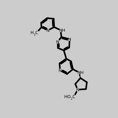 Cc1cccc(Nc2ncc(-c3cncc(N[C@H]4CCN(C(=O)O)C4)c3)cn2)n1